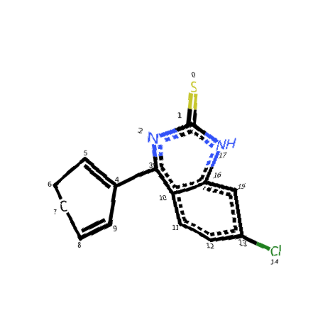 S=c1nc(C2=CCCC=C2)c2ccc(Cl)cc2[nH]1